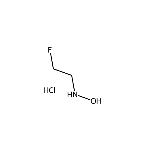 Cl.ONCCF